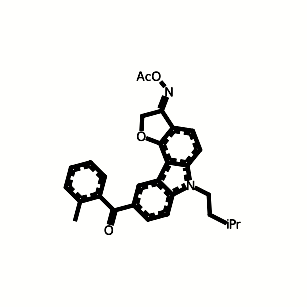 CC(=O)O/N=C1\COc2c1ccc1c2c2cc(C(=O)c3ccccc3C)ccc2n1CCC(C)C